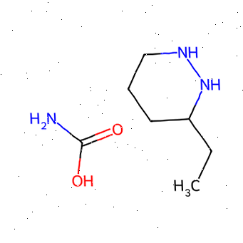 CCC1CCCNN1.NC(=O)O